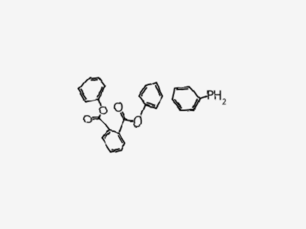 O=C(Oc1ccccc1)c1ccccc1C(=O)Oc1ccccc1.Pc1ccccc1